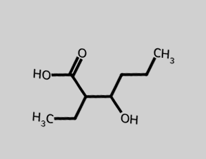 CCCC(O)C(CC)C(=O)O